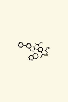 O=C(O)c1cc(C(=O)O)c(C(=O)N(Cc2cccc(-c3ccccc3)c2)[C@H]2CCCc3ccccc32)cc1C(=O)O